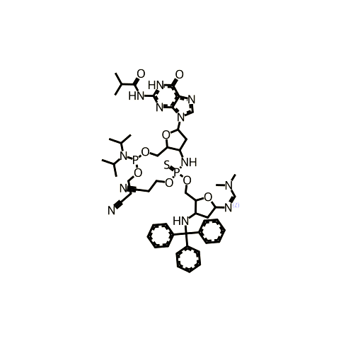 CC(C)C(=O)Nc1nc2c(ncn2C2CC(NP(=S)(OCCC#N)OCC3OC(/N=C\N(C)C)CC3NC(c3ccccc3)(c3ccccc3)c3ccccc3)C(COP(OCCC#N)N(C(C)C)C(C)C)O2)c(=O)[nH]1